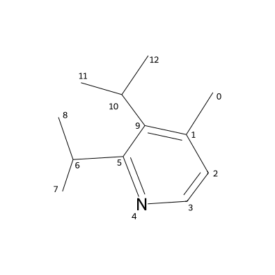 Cc1ccnc(C(C)C)c1C(C)C